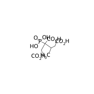 CC(CC(=O)O)C(CC(=O)O)(C(=O)O)P(=O)(O)O